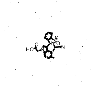 Cc1ccc2c(c1)c(C1c3ccccc3S(=O)(=O)N1C(C)C#N)cn2CC(=O)O